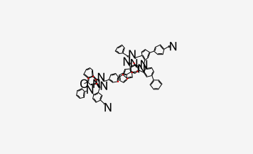 N#Cc1ccc(-c2ccc(-c3nc(-c4ccccc4)nc(-c4cc(-c5ccc(-c6nc(-c7ccccc7)nc(-c7cc(C#N)ccc7N7c8ccccc8Oc8ccccc87)n6)cc5)ccc4C#N)n3)c(-n3c4ccc(-c5ccccc5)cc4c4cc(-c5ccccc5)ccc43)c2)cc1